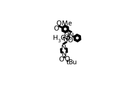 COC(=O)c1ccc(CN(c2ccccc2)S(=O)(=O)N(C)CCN2CCN(C(=O)OC(C)(C)C)CC2)cc1